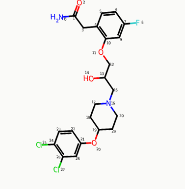 NC(=O)Cc1ccc(F)cc1OCC(O)CN1CCC(Oc2ccc(Cl)c(Cl)c2)CC1